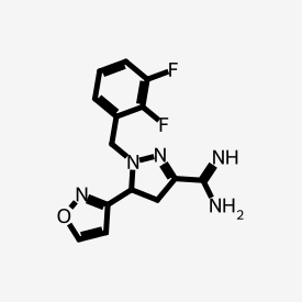 N=C(N)C1=NN(Cc2cccc(F)c2F)C(c2ccon2)C1